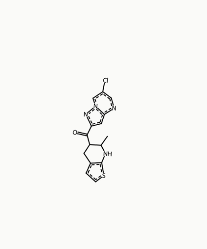 CC1Nc2sccc2CC1C(=O)c1cc2ncc(Cl)cn2n1